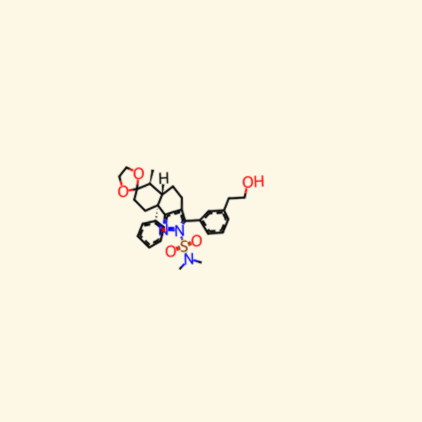 C[C@H]1[C@@H]2CCc3c(nn(S(=O)(=O)N(C)C)c3-c3cccc(CCO)c3)[C@@]2(c2ccccc2)CCC12OCCO2